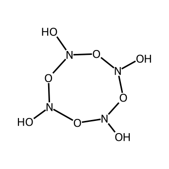 ON1ON(O)ON(O)ON(O)O1